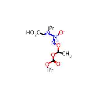 CC(C)OC(=O)OC(C)O/N=[N+](\[O-])N(CC(=O)O)C(C)C